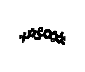 Cc1ccc(Oc2ccc(-c3ccn4c(CC(F)(F)F)nnc4c3Cl)cc2Cl)c(C)n1